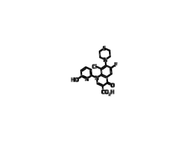 O=C(O)c1cn(-c2cccc(O)n2)c2c(Cl)c(N3CCSCC3)c(F)cc2c1=O